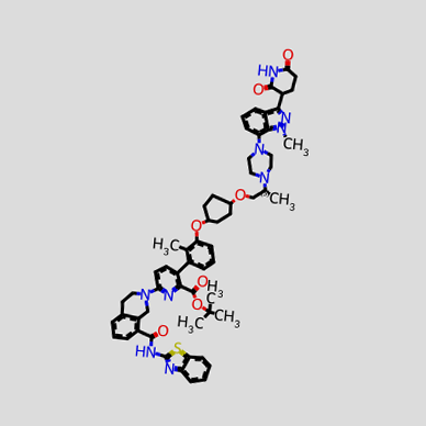 Cc1c(OC2CCC(OC[C@H](C)N3CCN(c4cccc5c(C6CCC(=O)NC6=O)nn(C)c45)CC3)CC2)cccc1-c1ccc(N2CCc3cccc(C(=O)Nc4nc5ccccc5s4)c3C2)nc1C(=O)OC(C)(C)C